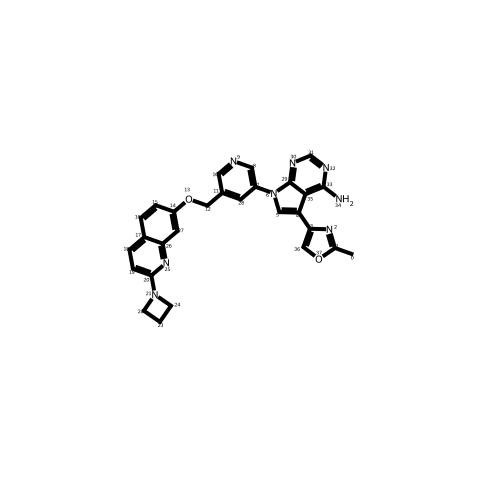 Cc1nc(-c2cn(-c3cncc(COc4ccc5ccc(N6CCC6)nc5c4)c3)c3ncnc(N)c23)co1